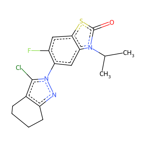 CC(C)n1c(=O)sc2cc(F)c(-n3nc4c(c3Cl)CCCC4)cc21